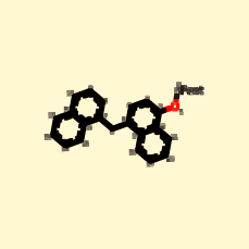 CCCCCOc1ccc(Cc2cccc3ccccc23)c2ccccc12